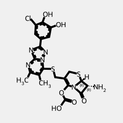 Cc1nc2nc(-c3cc(O)c(O)c(Cl)c3)nn2c(SCC2=C(OC(=O)O)N3C(=O)[C@@H](N)[C@H]3SC2)c1C